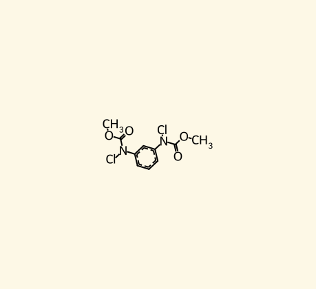 COC(=O)N(Cl)c1cccc(N(Cl)C(=O)OC)c1